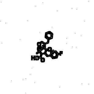 CC(C)(C)[C@H](C(=O)O)C(Cc1ccc(F)cn1)C(=O)N1C(=O)OC[C@H]1Cc1ccccc1